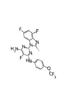 Cc1nc2c(F)cc(F)cc2n1-c1nc(N)c(F)c(Nc2ccc(OC(F)(F)F)cc2)n1